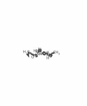 CCCc1ccnc(NC(=O)c2ccc(Oc3ccnc4[nH]nc(NC5CCN(C(=O)C=CCN(C)C6CC6)C5)c34)cc2)c1